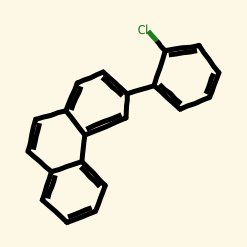 Clc1ccccc1-c1ccc2ccc3ccccc3c2c1